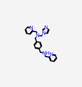 c1ccc(CNCc2ccc(CN(Cc3ccccn3)Cn3ccnc3)cc2)nc1